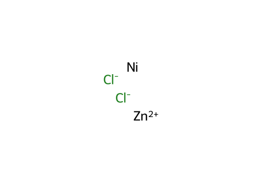 [Cl-].[Cl-].[Ni].[Zn+2]